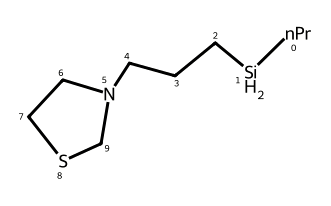 CCC[SiH2]CCCN1CCSC1